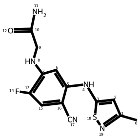 Cc1cc(Nc2cc(NCC(N)=O)c(F)cc2C#N)sn1